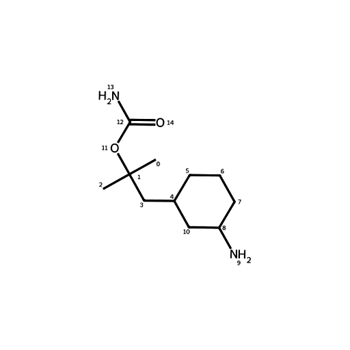 CC(C)(CC1CCCC(N)C1)OC(N)=O